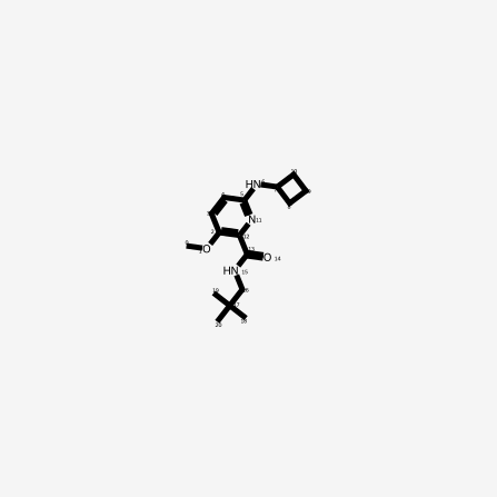 COc1ccc(NC2CCC2)nc1C(=O)NCC(C)(C)C